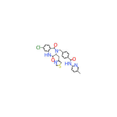 Cc1ccc(NC(=O)c2ccc(CN3C(=O)c4ccc(Cl)cc4NC(=O)C3Cc3cscn3)cc2)nc1